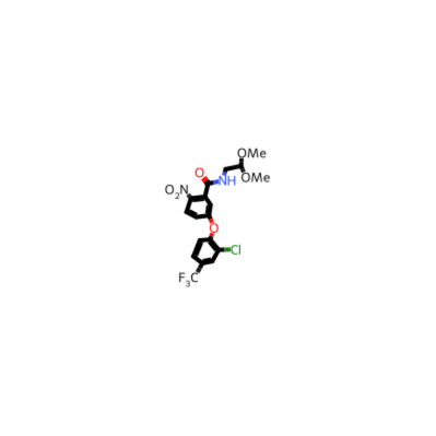 COC(CNC(=O)c1cc(Oc2ccc(C(F)(F)F)cc2Cl)ccc1[N+](=O)[O-])OC